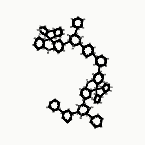 c1ccc(-c2cccc(-c3nc(-c4ccccc4)nc(-c4ccc5c(c4)C4(c6ccc(-c7cccc(-c8ccc(-c9nc(-c%10ccccc%10)nc(-c%10ccc%11c(c%10)C%10(c%12ccccc%12O%11)c%11ccccc%11-c%11ccccc%11%10)n9)cc8)c7)cc6O5)c5ccccc5-c5ccccc54)n3)c2)cc1